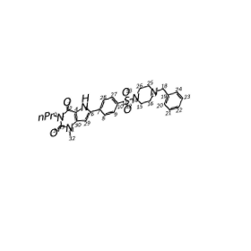 CCCn1c(=O)c2[nH]c(-c3ccc(S(=O)(=O)N4CCN(Cc5ccccc5)CC4)cc3)cc2n(C)c1=O